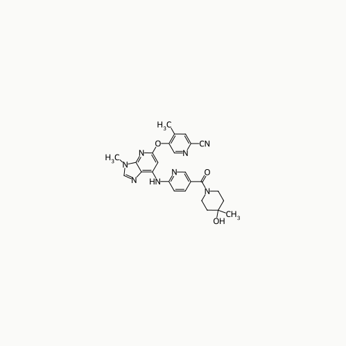 Cc1cc(C#N)ncc1Oc1cc(Nc2ccc(C(=O)N3CCC(C)(O)CC3)cn2)c2ncn(C)c2n1